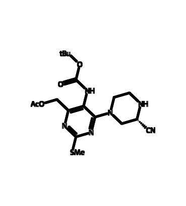 CSc1nc(COC(C)=O)c(NC(=O)OC(C)(C)C)c(N2CCN[C@H](C#N)C2)n1